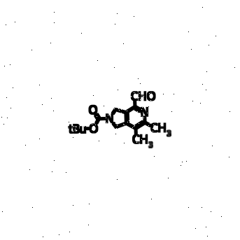 Cc1nc(C=O)c2c(c1C)CN(C(=O)OC(C)(C)C)C2